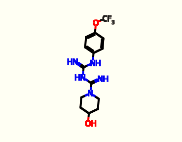 N=C(NC(=N)N1CCC(O)CC1)Nc1ccc(OC(F)(F)F)cc1